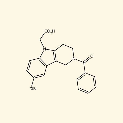 CC(C)(C)c1ccc2c(c1)c1c(n2CC(=O)O)CCN(C(=O)c2ccccc2)C1